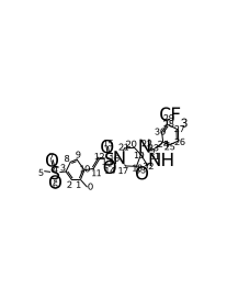 Cc1cc(S(C)(=O)=O)ccc1C=CS(=O)(=O)N1CCC2(CC1)N=C(c1cccc(C(F)(F)F)c1)NC2=O